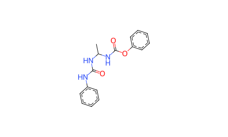 CC(NC(=O)Nc1ccccc1)NC(=O)Oc1ccccc1